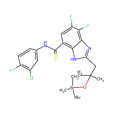 CC(C)(Cc1nc2c(F)c(F)cc(C(=S)Nc3ccc(F)c(Cl)c3)c2[nH]1)O[Si](C)(C)C(C)(C)C